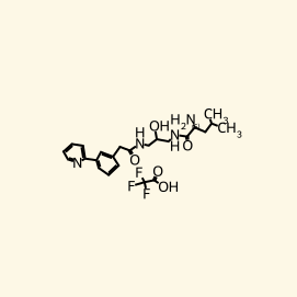 CC(C)C[C@H](N)C(=O)NCC(O)CNC(=O)Cc1cccc(-c2ccccn2)c1.O=C(O)C(F)(F)F